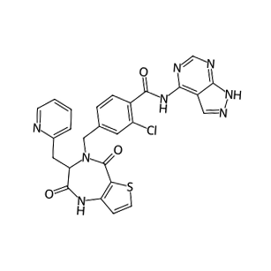 O=C(Nc1ncnc2[nH]ncc12)c1ccc(CN2C(=O)c3sccc3NC(=O)C2Cc2ccccn2)cc1Cl